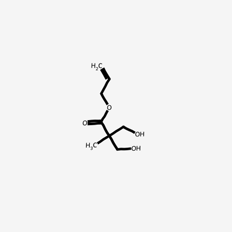 C=CCOC(=O)C(C)(CO)CO